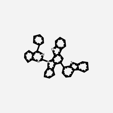 c1ccc(-c2nc(-n3c4ccccc4c4c(-c5cccc6c5sc5ccccc56)cc5c6ccccc6oc5c43)nc3ccccc23)cc1